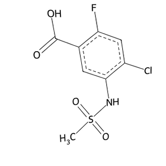 CS(=O)(=O)Nc1cc(C(=O)O)c(F)cc1Cl